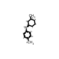 Cc1ccc(N=C2CCCC(C)C2)cc1